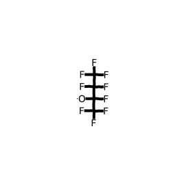 [O]C(F)(C(F)(F)F)C(F)(F)C(F)(F)F